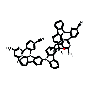 Cc1cc(C)nc(-c2ccc(C#N)cc2-n2c3ccccc3c3ccc(-n4c5ccccc5c5cc(Cc6cc(C)nc(-c7ccc(C#N)cc7-n7c8ccccc8c8ccc(C(C)(C)C)cc87)n6)ccc54)cc32)n1